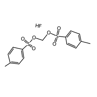 Cc1ccc(S(=O)(=O)OCOS(=O)(=O)c2ccc(C)cc2)cc1.F